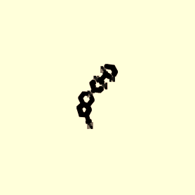 N#Cc1ccc2c(c1)CN(c1cnc(-c3ncccn3)nc1)CC2